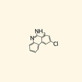 Nc1nc2ccccc2c2cc(Cl)ccc12